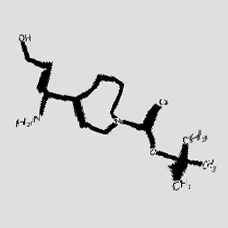 CC(C)(C)OC(=O)N1CCC(C(N)=CCO)CC1